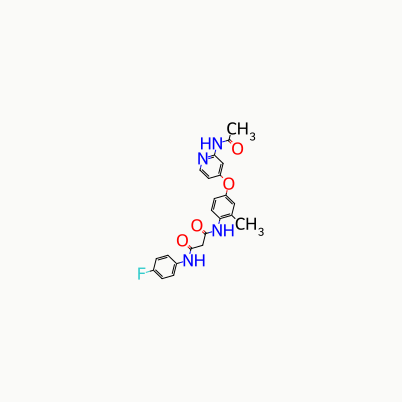 CC(=O)Nc1cc(Oc2ccc(NC(=O)CC(=O)Nc3ccc(F)cc3)c(C)c2)ccn1